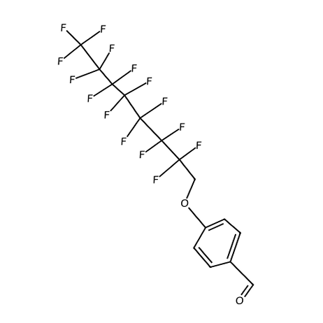 O=Cc1ccc(OCC(F)(F)C(F)(F)C(F)(F)C(F)(F)C(F)(F)C(F)(F)C(F)(F)F)cc1